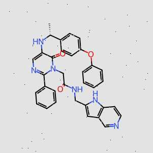 C[C@@H](Nc1cnc(-c2ccccc2)n(CC(=O)NCc2cc3cnccc3[nH]2)c1=O)c1ccc(Oc2ccccc2)cc1